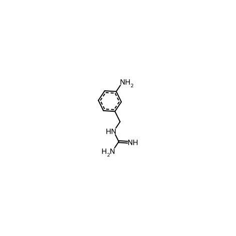 N=C(N)NCc1cccc(N)c1